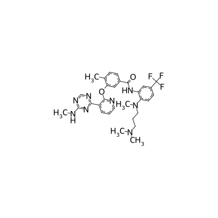 CNc1ncnc(-c2cccnc2Oc2cc(C(=O)Nc3cc(C(F)(F)F)ccc3N(C)CCCN(C)C)ccc2C)n1